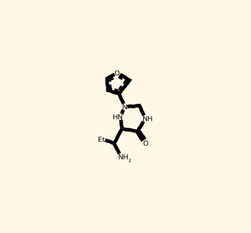 CCC(N)C1NN(c2ccoc2)CNC1=O